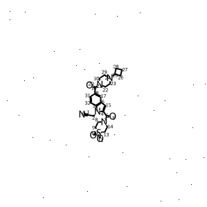 N#CCn1c(C(=O)N2CCS(=O)(=O)CC2)cc2cc(C(=O)N3CCN(C4CCC4)CC3)ccc21